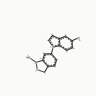 OB1OCc2ccc(-n3ccc4cc(Cl)ccc43)cc21